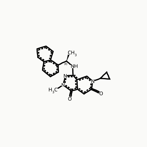 C[C@@H](Nc1nn(C)c(=O)c2cc(=O)n(C3CC3)cc12)c1cccc2ccccc12